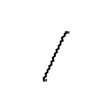 SCCCCCCCCCCCCCCCCCCCCCCCS